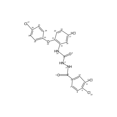 O=C(NNC(=O)c1ccc(Cl)c(Cl)c1)Nc1cc(Cl)ccc1Oc1ccc(Cl)cc1